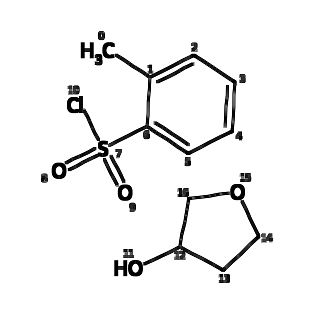 Cc1ccccc1S(=O)(=O)Cl.OC1CCOC1